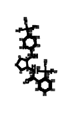 O=C(NC1CCCC1Nc1cnc(C(F)(F)F)cn1)c1ccccc1C(F)(F)F